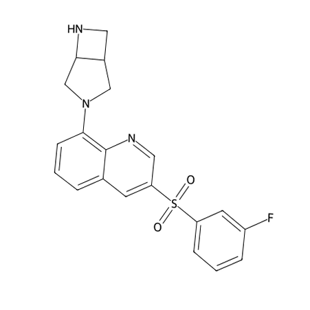 O=S(=O)(c1cccc(F)c1)c1cnc2c(N3CC4CNC4C3)cccc2c1